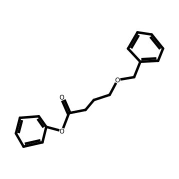 O=C(CCCOCc1ccccc1)Oc1ccccc1